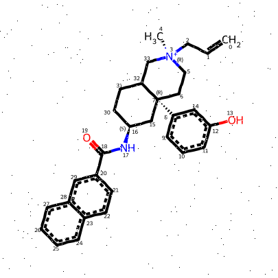 C=CC[N@@+]1(C)CC[C@@]2(c3cccc(O)c3)C[C@@H](NC(=O)c3ccc4ccccc4c3)CCC2C1